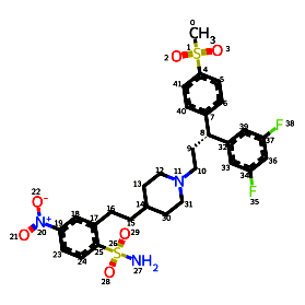 CS(=O)(=O)c1ccc([C@@H](CCN2CCC(CCc3cc([N+](=O)[O-])ccc3S(N)(=O)=O)CC2)c2cc(F)cc(F)c2)cc1